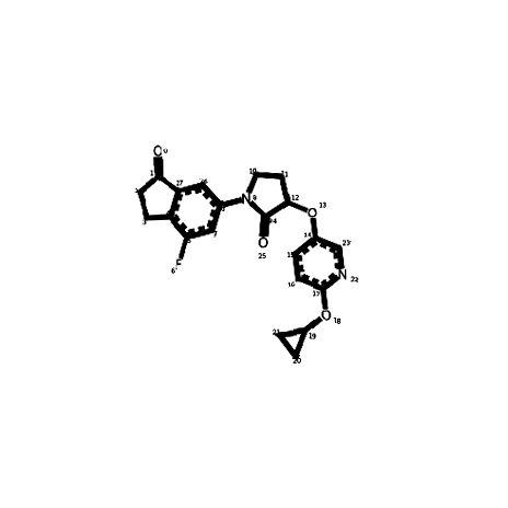 O=C1CCc2c(F)cc(N3CCC(Oc4ccc(OC5CC5)nc4)C3=O)cc21